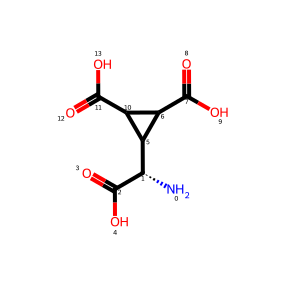 N[C@H](C(=O)O)C1C(C(=O)O)C1C(=O)O